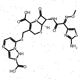 CON=C(C(=O)N[C@@H]1C(=O)N2C(C(=O)O)=C(CSC3=CC=NC4=CN(C(=O)O)NN43)CS[C@H]12)c1csc(N)n1